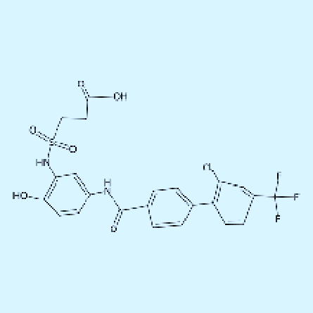 O=C(O)CCS(=O)(=O)Nc1cc(NC(=O)c2ccc(-c3ccc(C(F)(F)F)cc3Cl)cc2)ccc1O